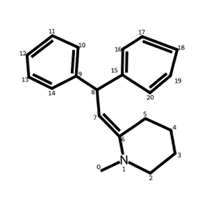 CN1CCCCC1=CC(c1ccccc1)c1ccccc1